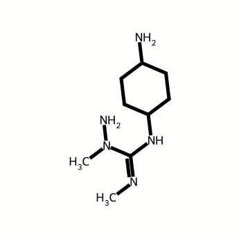 CN=C(NC1CCC(N)CC1)N(C)N